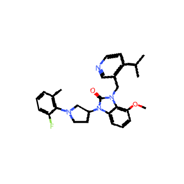 COc1cccc2c1n(Cc1cnccc1C(C)C)c(=O)n2C1CCN(c2c(C)cccc2F)C1